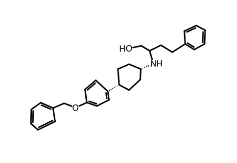 OCC(CCc1ccccc1)N[C@H]1CC[C@@H](c2ccc(OCc3ccccc3)cc2)CC1